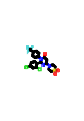 O=c1cc(N2CCS(=O)(=O)CC2)nc(-c2ccc(Cl)cc2Cl)n1-c1ccc(C(F)(F)F)cc1